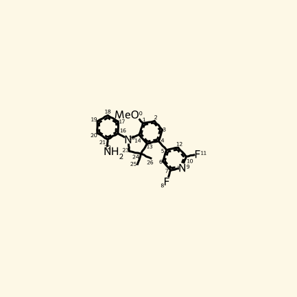 COc1ccc(-c2cc(F)nc(F)c2)c2c1N(c1ccccc1N)CC2(C)C